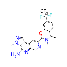 C[C@H](c1ccc(C(F)(F)C(F)(F)F)cc1)N(C)C(=O)c1cc2c(cn1)nc(N)c1c2cnn1C